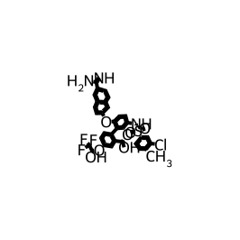 Cc1ccc(S(=O)(=O)Nc2ccc(Oc3ccc4cc(C(=N)N)ccc4c3)c(-c3ccccc3C(=O)O)c2)cc1Cl.O=C(O)C(F)(F)F